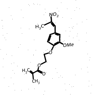 C=C(C)C(=O)OCCOc1ccc(/C=C(\C)[N+](=O)[O-])cc1OC